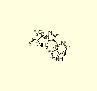 NC(C=S)[C@@H](n1cc(-c2ncnc3[nH]ccc23)cn1)C(F)(F)F